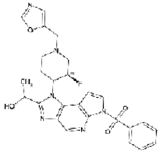 CC(O)c1nc2cnc3c(ccn3S(=O)(=O)c3ccccc3)c2n1C1CCN(Cc2cnco2)C[C@H]1F